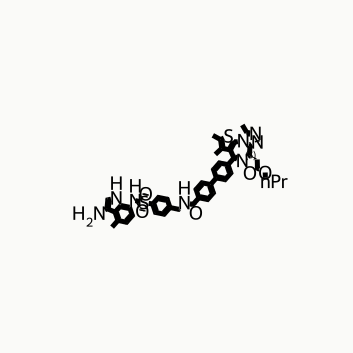 CCCOC(=O)C[C@@H]1N=C(c2ccc(-c3ccc(C(=O)NCc4ccc(S(=O)(=O)Nc5ccc(C)c6c(N)c[nH]c56)cc4)cc3)cc2)c2c(sc(C)c2C)-n2c(C)nnc21